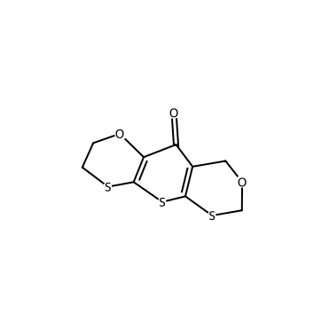 O=c1c2c(sc3c1OCCS3)SCOC2